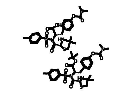 Cc1ccc(S(=O)(=O)N(C(=O)[C@H]2NC(C)(C)CS2)[C@@H](Cc2ccc(OC(=O)N(C)C)cc2)C(=O)O)cc1.Cc1ccc(S(=O)(=O)N(C(=O)[C@H]2NC(C)(C)CS2)[C@@H](Cc2ccc(OC(=O)N(C)C)cc2)C(=O)OC(C)(C)C)cc1